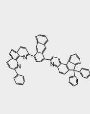 c1ccc(-c2ccc3ccc4ccc(-c5ccc(-c6ccc7c8c(ccc7n6)C(c6ccccc6)(c6ccccc6)c6ccccc6-8)c6cc7ccccc7cc56)nc4c3n2)cc1